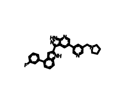 Fc1cccc(-c2cccc3[nH]c(-c4n[nH]c5ncc(-c6cncc(CN7CCCC7)c6)cc45)cc23)c1